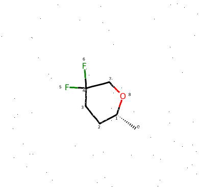 C[C@@H]1CCC(F)(F)CO1